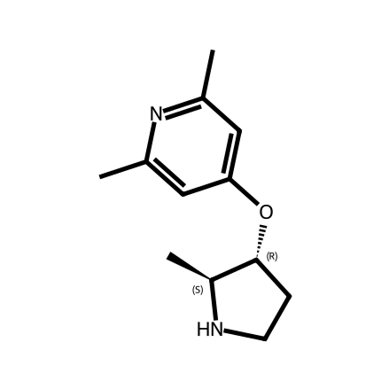 Cc1cc(O[C@@H]2CCN[C@H]2C)cc(C)n1